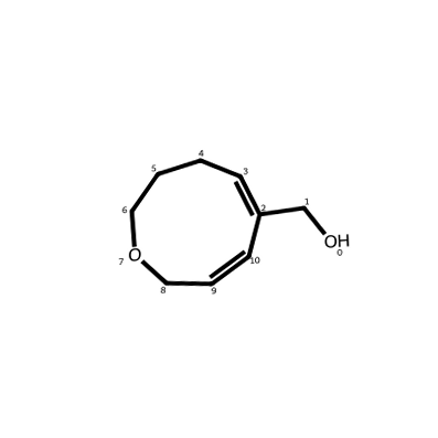 OCC1=C/CCCOC/C=C\1